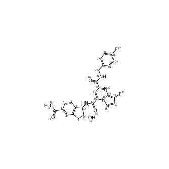 CC(=O)c1ccc2c(c1)C[C@@H](O)[C@@H]2NC(=O)c1cc(C(=O)NCc2ccc(F)cc2)nc2c(F)cnn12